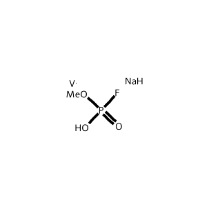 COP(=O)(O)F.[NaH].[V]